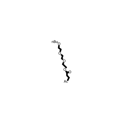 CCCCOCCOCCOCCOC(=O)CCC(C)=O